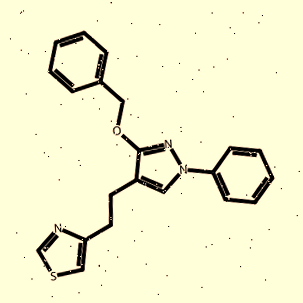 c1ccc(COc2nn(-c3ccccc3)cc2CCc2cscn2)cc1